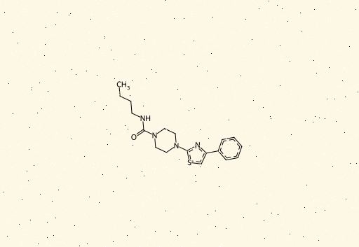 CCCCNC(=O)N1CCN(c2nc(-c3ccccc3)cs2)CC1